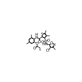 CCC(=O)Oc1cc(C)cc(C)c1NC(=O)c1sc(C)c(C)c1S(=O)(=O)Nc1onc(C)c1Cl